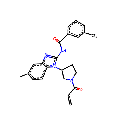 C=CC(=O)N1CCC(n2c(NC(=O)c3cccc(C(F)(F)F)c3)nc3cc(C)ccc32)C1